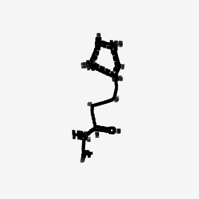 CC(C)NC(=O)CCn1cnnn1